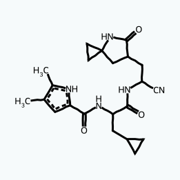 Cc1cc(C(=O)NC(CC2CC2)C(=O)NC(C#N)CC2CC3(CC3)NC2=O)[nH]c1C